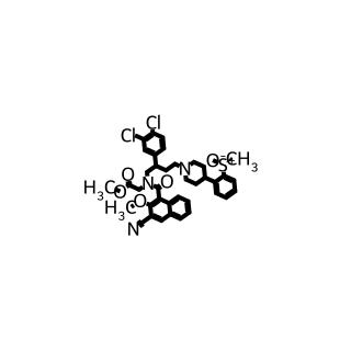 COC(=O)CN(CC(CCN1CCC(c2ccccc2[S@+](C)[O-])CC1)c1ccc(Cl)c(Cl)c1)C(=O)c1c(OC)c(C#N)cc2ccccc12